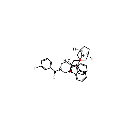 Cc1nc2ccccc2n1C1C[C@H]2CC[C@@H](C1)N2CCC1(c2ccccc2)CCN(C(=O)c2cccc(F)c2)CC1